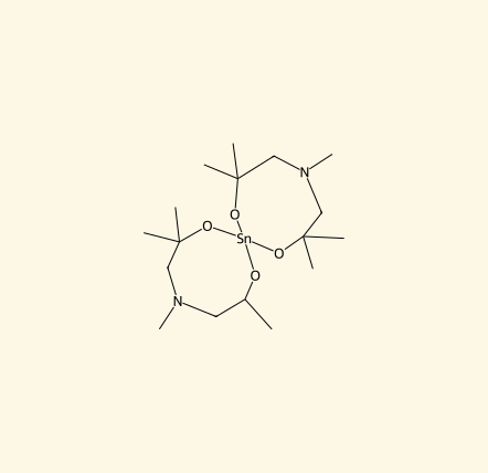 CC1CN(C)CC(C)(C)[O][Sn]2([O]1)[O]C(C)(C)CN(C)CC(C)(C)[O]2